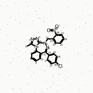 Cc1nnc2n1-c1ccccc1C(c1ccc(Cl)cc1)=NN2Cc1ccccc1[N+](=O)[O-]